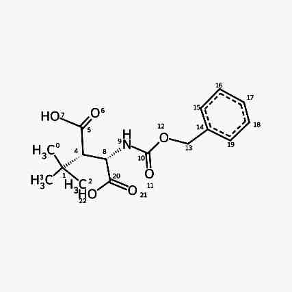 CC(C)(C)[C@H](C(=O)O)[C@H](NC(=O)OCc1ccccc1)C(=O)O